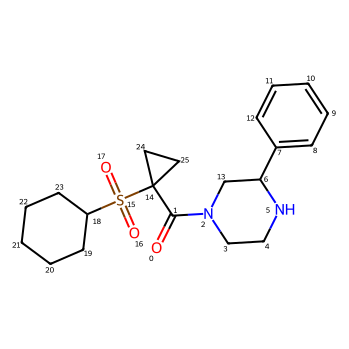 O=C(N1CCNC(c2ccccc2)C1)C1(S(=O)(=O)C2CCCCC2)CC1